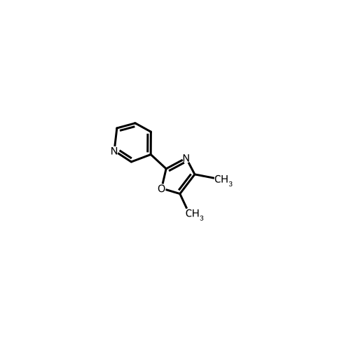 Cc1nc(-c2cccnc2)oc1C